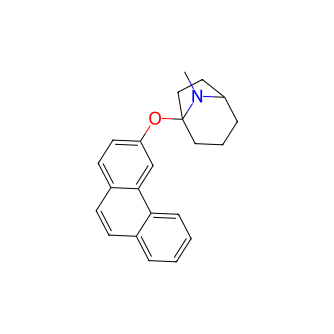 CN1C2CCCC1(Oc1ccc3ccc4ccccc4c3c1)CC2